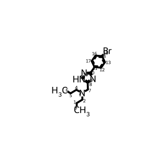 CCCN(CCC)Cc1nc(-c2ccc(Br)cc2)n[nH]1